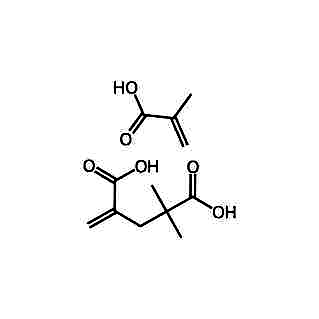 C=C(C)C(=O)O.C=C(CC(C)(C)C(=O)O)C(=O)O